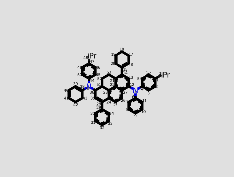 CC(C)c1ccc(N(c2ccccc2)c2cc(C3=CCCC=C3)c3c4c5c(ccc24)C(c2ccccc2)=CC(N(C2=CC=CCC2)c2ccc(C(C)C)cc2)C5CC3)cc1